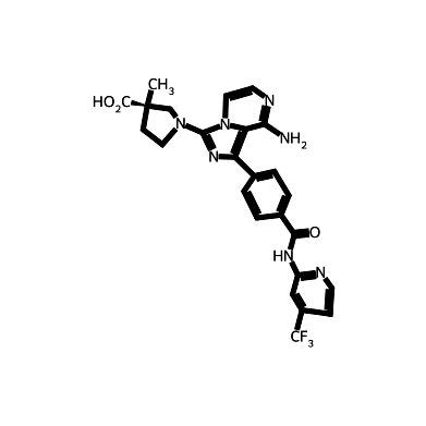 C[C@@]1(C(=O)O)CCN(c2nc(-c3ccc(C(=O)Nc4cc(C(F)(F)F)ccn4)cc3)c3c(N)nccn23)C1